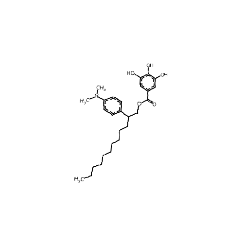 CCCCCCCCCCC(COC(=O)c1cc(O)c(O)c(O)c1)c1ccc(N(C)C)cc1